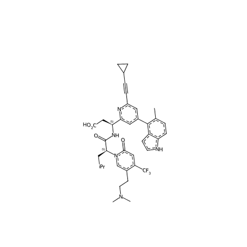 Cc1ccc2[nH]ccc2c1-c1cc(C#CC2CC2)nc([C@H](CC(=O)O)NC(=O)[C@H](CC(C)C)n2cc(CCN(C)C)c(C(F)(F)F)cc2=O)c1